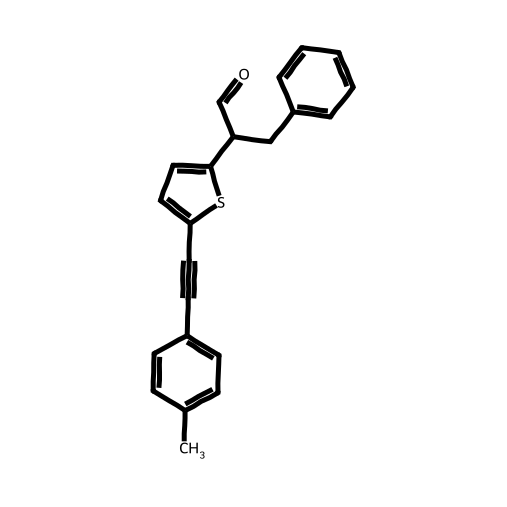 Cc1ccc(C#Cc2ccc(C(C=O)Cc3ccccc3)s2)cc1